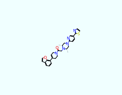 C[C@@H]1CN(c2ccc(-c3nccs3)cn2)C[C@H](C)N1CC(=O)N1CC=C(c2cccc3ccoc23)CC1